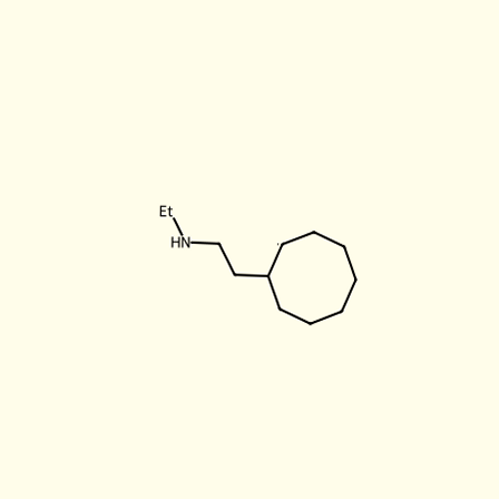 CCNCCC1[CH]CCCCCC1